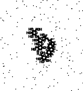 CC(CCC(OC1OC(COC2OC(CO)C(O)C(O)C2O)C(O)C(O)C1OC1OC(CO)C(O)CC1O)C(C)(C)O)C1CCC2(C)C3CC=C4C(CCC(OC5OC(CO)C(O)C(O)C5O)C4(C)C)C3(C)CCC12C